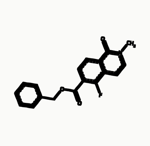 Cn1ccc2c(F)c(C(=O)OCc3ccccc3)ccc2c1=O